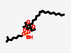 CCCCCCCC/C=C\CCCCCC1(C2(C3(OP(O)OCCCCCC(C)C)CCO3)CCO2)CCO1